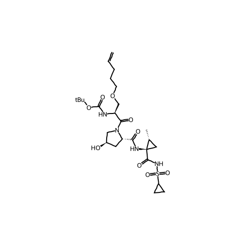 C=CCCCOC[C@H](NC(=O)OC(C)(C)C)C(=O)N1C[C@H](O)C[C@H]1C(=O)N[C@]1(C(=O)NS(=O)(=O)C2CC2)C[C@H]1C